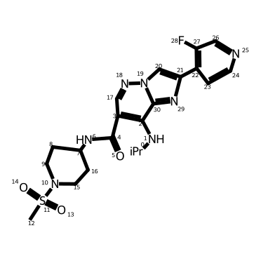 CC(C)Nc1c(C(=O)NC2CCN(S(C)(=O)=O)CC2)cnn2cc(-c3ccncc3F)nc12